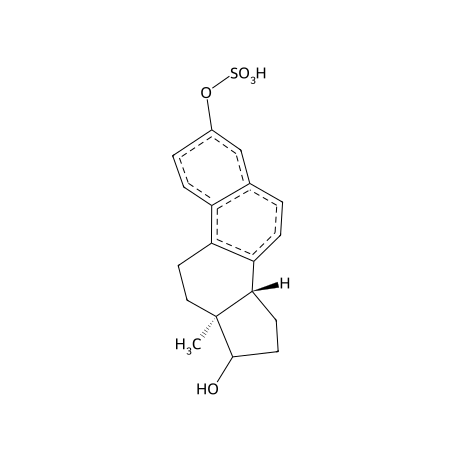 C[C@]12CCc3c(ccc4cc(OS(=O)(=O)O)ccc34)[C@@H]1CCC2O